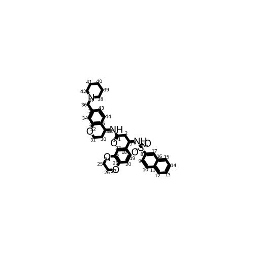 O=C(CC(NS(=O)(=O)c1ccc2ccccc2c1)c1ccc2c(c1)OCCO2)NC1CCOc2cc(CN3CCCCC3)ccc21